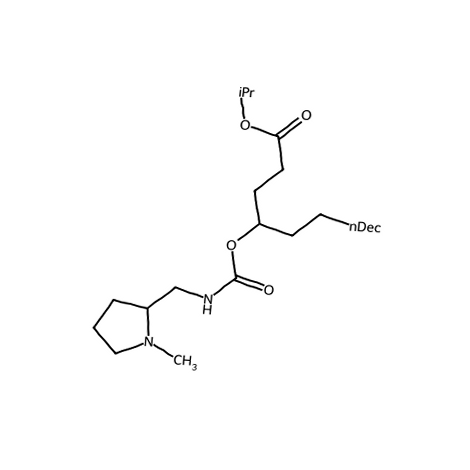 [CH2]C([CH2])OC(=O)CCC(CCCCCCCCCCCC)OC(=O)NCC1CCCN1C